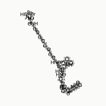 CN1C(O)C(Br)=C(Br)C(=O)N1CCC(=O)NCCOCCOCCOCCOCCOCCOCCOCCOCCNC(=O)COCC(=O)N[C@@H](CCCCNC(c1ccccc1)(c1ccccc1)c1ccccc1)C(=O)Nc1ccc(COC(=O)O[C@@H]2C(=O)OCc3c2cc2n(c3=O)Cc3cc4cc5c(cc4nc3-2)OCO5)cc1